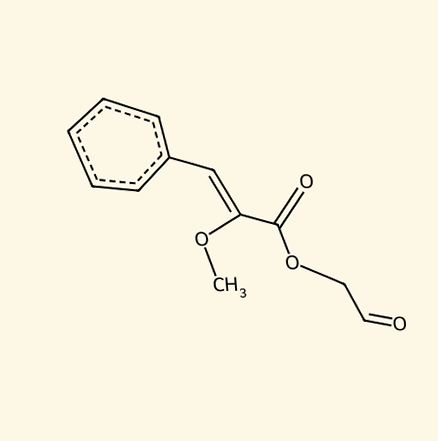 COC(=Cc1ccccc1)C(=O)OCC=O